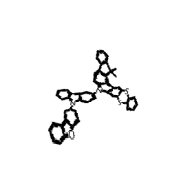 CC1(C)c2ccccc2-c2ccc3c(c21)c1cc2c(cc1n3-c1ccc3c(c1)c1ccccc1n3-c1ccc3oc4ccccc4c3c1)Sc1ccccc1S2